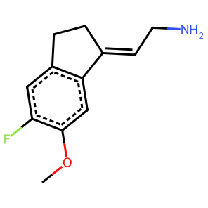 COc1cc2c(cc1F)CCC2=CCN